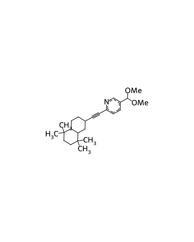 COC(OC)c1ccc(C#CC2CCC3C(C2)C(C)(C)CCC3(C)C)nc1